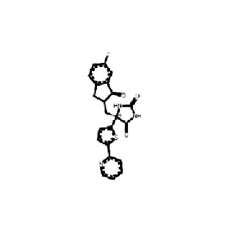 O=C1NC(=O)[C@](CC2Cc3ccc(F)cc3C2=O)(c2ccc(-c3ccccn3)s2)N1